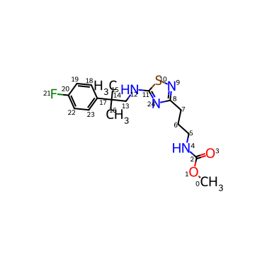 COC(=O)NCCCc1nsc(NCC(C)(C)c2ccc(F)cc2)n1